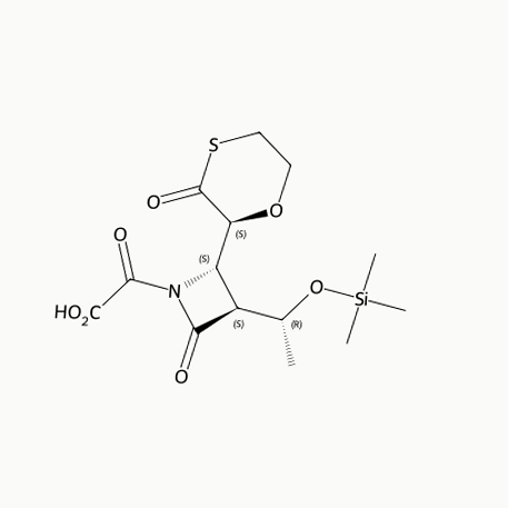 C[C@@H](O[Si](C)(C)C)[C@H]1C(=O)N(C(=O)C(=O)O)[C@@H]1[C@@H]1OCCSC1=O